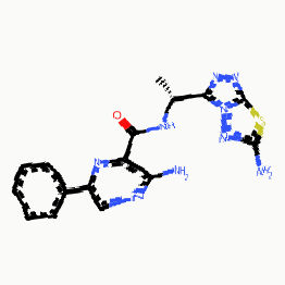 C[C@@H](NC(=O)c1nc(-c2ccccc2)cnc1N)c1nnc2sc(N)nn12